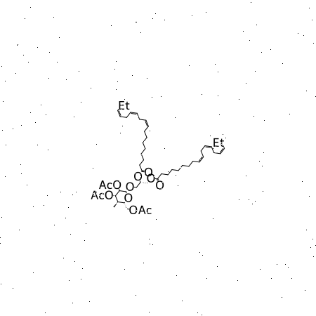 CC/C=C\C/C=C\C/C=C\CCCCCCCC(=O)OC[C@H](CO[C@@H]1O[C@H](COC(C)=O)[C@@H](C)[C@H](OC(C)=O)[C@H]1OC(C)=O)OC(=O)CCCCCCC/C=C\C/C=C\C/C=C\CC